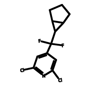 FC(F)(c1cc(Cl)nc(Cl)c1)C1C2CCCC21